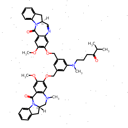 COc1cc2c(cc1OCc1cc(COc3cc4c(cc3OC)C(=O)N3c5ccccc5C[C@H]3CN4C)cc(N(C)CCCC(=O)C(C)C)c1)N=C[C@@H]1Cc3ccccc3N1C2=O